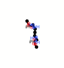 CC(C)[C@H](NC(=O)OCc1ccccc1)C(=O)N1CCC[C@H]1c1nc2cc(-c3ccc(-c4ccc5[nH]c([C@@H]6CCCN6C(=O)[C@@H](NC(=O)OCc6ccccc6)C(C)C)nc5c4)cc3)ccc2[nH]1